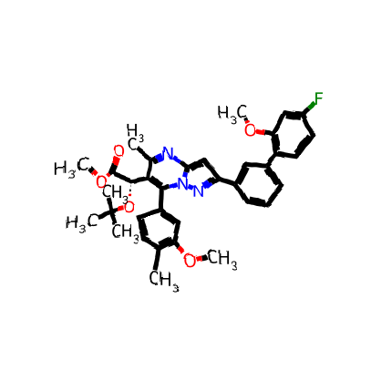 COC(=O)[C@@H](OC(C)(C)C)c1c(C)nc2cc(-c3cccc(-c4ccc(F)cc4OC)c3)nn2c1-c1ccc(C)c(OC)c1